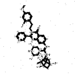 COc1ccc(CCn2c(-c3cccnc3)nc3cc(N=C(N[C@H]4C[C@H]5C[C@H]([C@H]4C)C5(C)C)N4C[C@@H](C)N[C@@H](C)C4)ccc3c2=O)c(F)c1